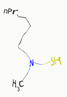 CCCCCN(C)S